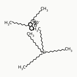 CCCCCCCCCCCC[N+](CCCCCCCCCCCC)(CCCCCCCCCCCC)CCCCCCCCCCCC.CCCCCCCCCc1cc(CCCCCCCCC)c2ccccc2c1S(=O)(=O)[O-]